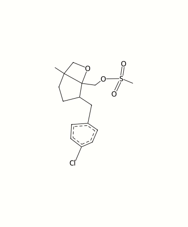 CC12CCC(Cc3ccc(Cl)cc3)C1(COS(C)(=O)=O)OC2